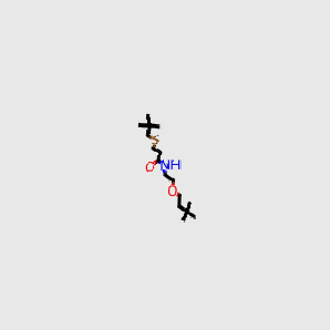 CC(C)(C)CCOCCNC(=O)CCSCC(C)(C)C